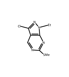 CCn1nc(Cl)c2cnc(SC)nc21